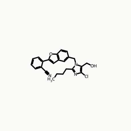 CCCCc1nc(Cl)c(CO)n1Cc1ccc2oc(-c3ccccc3C#N)cc2c1